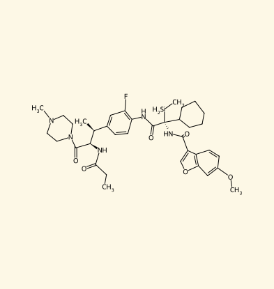 CCC(=O)N[C@@H](C(=O)N1CCN(C)CC1)[C@@H](C)c1ccc(NC(=O)[C@@](NC(=O)c2coc3cc(OC)ccc23)([SiH2]C)C2CCCCC2)c(F)c1